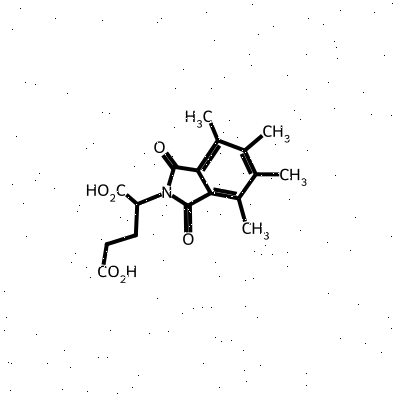 Cc1c(C)c(C)c2c(c1C)C(=O)N(C(CCC(=O)O)C(=O)O)C2=O